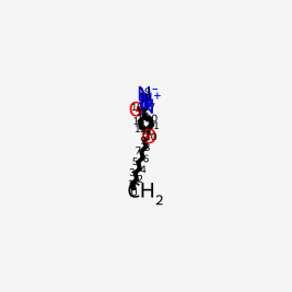 C=CCCCCCCCCOc1ccc(C(=O)N=[N+]=[N-])cc1